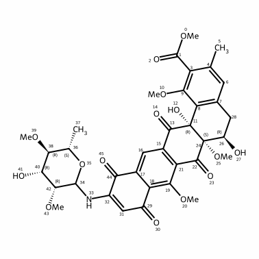 COC(=O)c1c(C)cc2c(c1OC)[C@]1(O)C(=O)c3cc4c(c(OC)c3C(=O)[C@]1(OC)[C@H](O)C2)C(=O)C=C(NC1O[C@@H](C)[C@H](OC)[C@@H](O)[C@H]1OC)C4=O